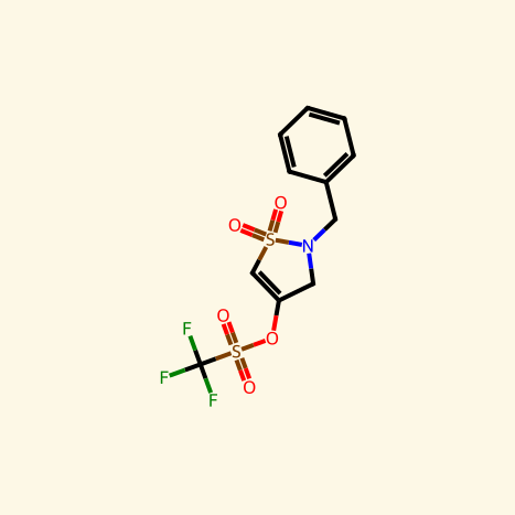 O=S1(=O)C=C(OS(=O)(=O)C(F)(F)F)CN1Cc1ccccc1